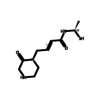 C[C@H](S)NC(=O)/C=C/CN1CCNCC1=O